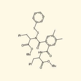 Cc1cc(C(=O)NC(CC(C)C)C(=O)OC(C)(C)C)c(C(=O)N(SSc2ccccc2)C(CC(C)C)C(=O)OC(C)(C)C)cc1C